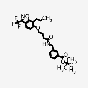 CCCc1c(OCCCC(=O)NCc2cccc(C(=O)OC(C)(C)C)c2)ccc2c(C(F)(F)F)noc12